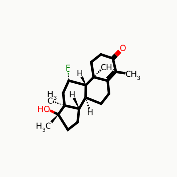 CC1=C2CC[C@@H]3[C@H]([C@@H](F)C[C@@]4(C)[C@H]3CC[C@]4(C)O)[C@@]2(C)CCC1=O